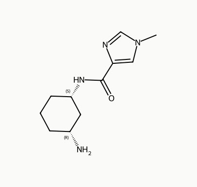 Cn1cnc(C(=O)N[C@H]2CCC[C@@H](N)C2)c1